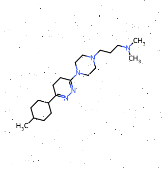 CC1CCC(C2=NN=C(N3CCN(CCCN(C)C)CC3)CC2)CC1